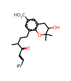 CC(C)C=CC(=O)C(C)CCc1cc(C(=O)O)cc2c1OC(C)(C)C(O)C2